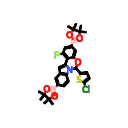 CC1(C)OB(c2cc(F)c3c(c2)OC(c2ccc(Cl)s2)n2c-3cc3cc(B4OC(C)(C)C(C)(C)O4)ccc32)OC1(C)C